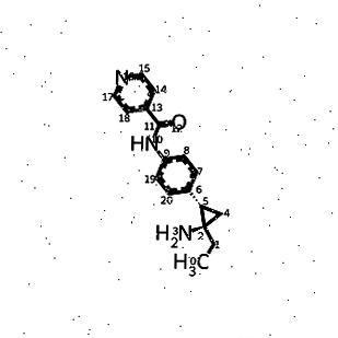 CC[C@@]1(N)C[C@H]1c1ccc(NC(=O)c2ccncc2)cc1